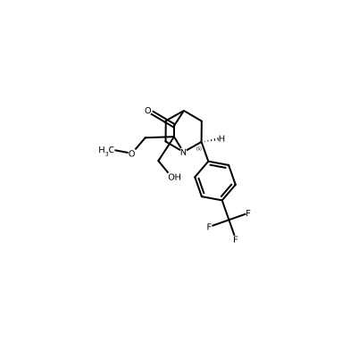 COCC1(CO)C(=O)C2CCN1[C@H](c1ccc(C(F)(F)F)cc1)C2